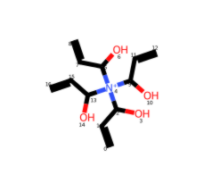 C=CC(O)[N+](C(O)C=C)(C(O)C=C)C(O)C=C